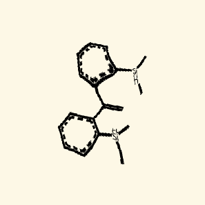 C=C(c1ccccc1[SiH](C)C)c1ccccc1[SiH](C)C